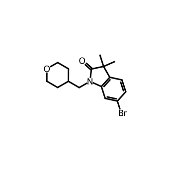 CC1(C)C(=O)N(CC2CCOCC2)c2cc(Br)ccc21